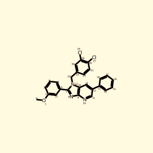 COc1cccc(-c2nc3ncc(-c4ccccc4)cc3n2Cc2ccc(Cl)c(Cl)c2)c1